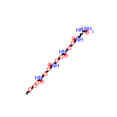 CCCOCCOCOCC(=O)NCCOCCOCC(=O)NCCOCCOCC(=O)NCCOCCOCC(=O)NCCCC[C@H](NI)C(N)=O